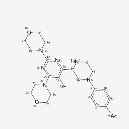 CC(=O)c1ccc(N2CCNC(c3nc(N4CCOCC4)nc(N4CCOCC4)c3F)C2)cc1